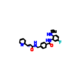 CC(C)(C)Nc1ccc(F)cc1NC(=O)c1ccc(CNC(=O)/C=C/c2ccccn2)cc1